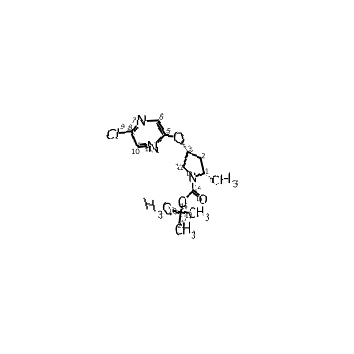 C[C@H]1C[C@@H](Oc2cnc(Cl)cn2)CN1C(=O)OC(C)(C)C